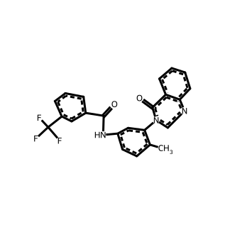 Cc1ccc(NC(=O)c2cccc(C(F)(F)F)c2)cc1-n1cnc2ccccc2c1=O